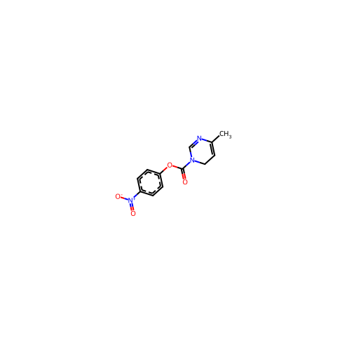 CC1=CCN(C(=O)Oc2ccc([N+](=O)[O-])cc2)C=N1